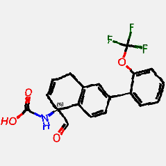 O=C[C@]1(NC(=O)O)C=CCc2cc(-c3ccccc3OC(F)(F)F)ccc21